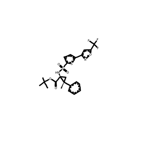 CC(C)(C)OC(=O)[C@]1(NS(=O)(=O)c2ccc(-c3cc(C(F)(F)F)on3)s2)C[C@]1(C)c1ccccc1